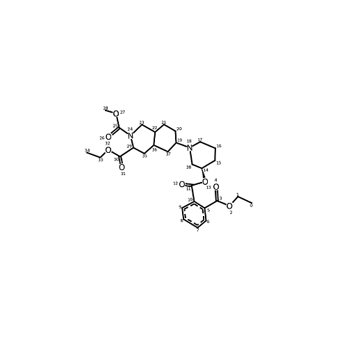 CCOC(=O)c1ccccc1C(=O)O[C@@H]1CCCN(C2CCC3CN(C(=O)OC)C(C(=O)OCC)CC3C2)C1